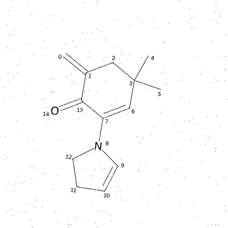 C=C1CC(C)(C)C=C(N2C=CCC2)C1=O